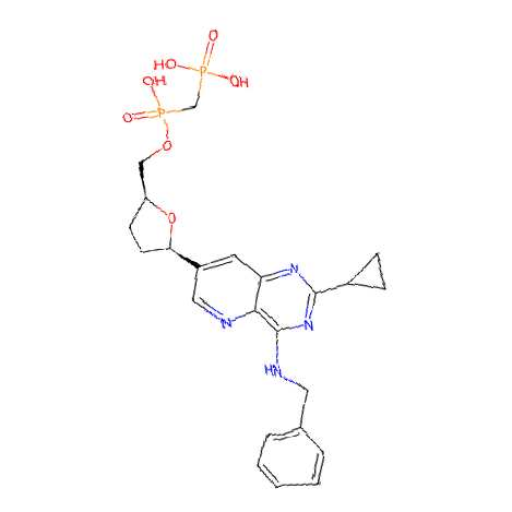 O=P(O)(O)CP(=O)(O)OC[C@@H]1CC[C@H](c2cnc3c(NCc4ccccc4)nc(C4CC4)nc3c2)O1